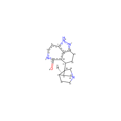 O=c1nccc2[nH]nc3c2c1C([C@H]1CN2CCC1CC2)CC3